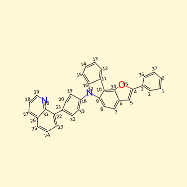 c1ccc(-c2cc3ccc4c(c5ccccc5n4-c4ccc(-c5cccc6cccnc56)cc4)c3o2)cc1